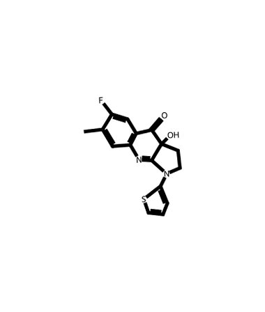 Cc1cc2c(cc1F)C(=O)C1(O)CCN(c3cccs3)C1=N2